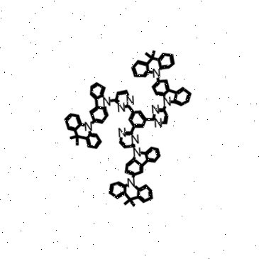 CC1(C)c2ccccc2N(c2ccc3c(c2)c2ccccc2n3-c2ccnc(-c3cc(-c4nccc(-n5c6ccccc6c6cc(N7c8ccccc8C(C)(C)c8ccccc87)ccc65)n4)cc(-c4nccc(-n5c6ccccc6c6cc(N7c8ccccc8C(C)(C)c8ccccc87)ccc65)n4)c3)n2)c2ccccc21